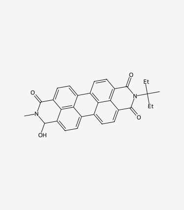 CCC(C)(CC)N1C(=O)c2ccc3c4ccc5c6c(ccc(c7ccc(c2c37)C1=O)c64)C(O)N(C)C5=O